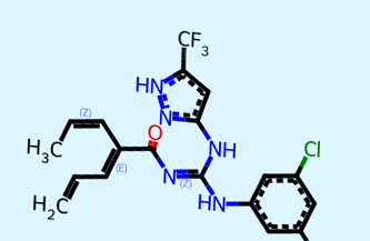 C=C/C=C(\C=C/C)C(=O)/N=C(/Nc1cc(F)cc(Cl)c1)Nc1cc(C(F)(F)F)[nH]n1